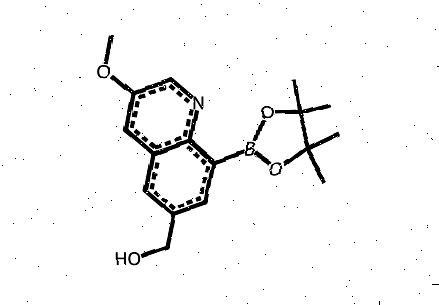 COc1cnc2c(B3OC(C)(C)C(C)(C)O3)cc(CO)cc2c1